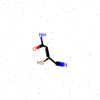 N#CC(S)=CC([NH])=O